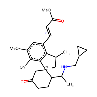 COC(=O)/C=C/c1cc(OC)c(N=O)c2c1C(C)C[C@]21CC(=O)CCC1C(C)NCC1CC1